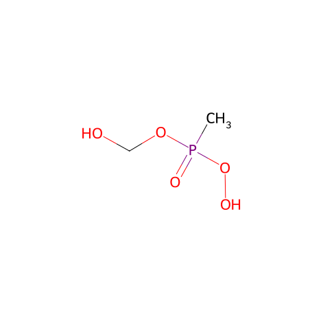 CP(=O)(OO)OCO